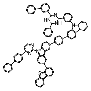 C1=CC2c3ccc(-c4ccc(-c5ccc6c(c5)c5cc(-c7cccc8c7sc7ccccc78)ccc5n6-c5nccc(-c6ccc(-c7ccccc7)cc6)n5)cc4)cc3N(c3cccc(C4N=C(c5cccc(-c6ccccc6)c5)NC(c5ccccc5)N4)c3)C2C=C1